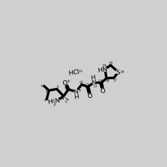 CC(C)C[C@](C)(N)C(=O)NCC(=O)NC(=O)C1CSCN1.Cl